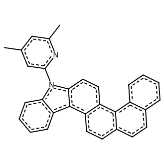 Cc1cc(C)nc(-n2c3ccccc3c3c4ccc5ccc6ccccc6c5c4ccc32)c1